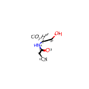 N#CCC(=O)N[C@@H](CO)C(=O)O